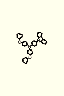 c1ccc(Oc2ccc(N(c3ccc(Oc4ccccc4)cc3)c3ccc(-n4c5ccccc5c5ccccc54)cc3)cc2)cc1